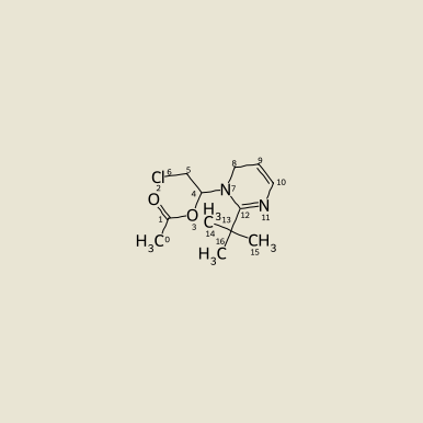 CC(=O)OC(CCl)N1CC=CN=C1C(C)(C)C